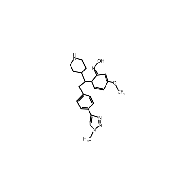 Cn1nnc(-c2ccc(CC(C3CCNCC3)C3C=CC(OC(F)(F)F)=CC3=NO)cc2)n1